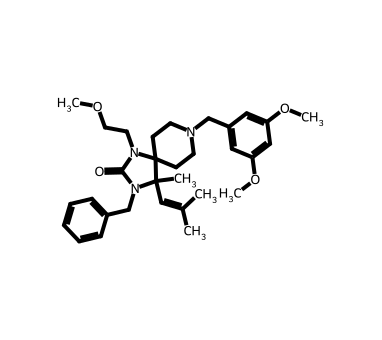 COCCN1C(=O)N(Cc2ccccc2)C(C)(C=C(C)C)C12CCN(Cc1cc(OC)cc(OC)c1)CC2